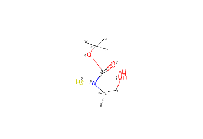 C[C@@H](CO)N(S)C(=O)OC(C)(C)C